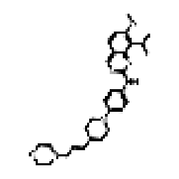 COc1ccc2cnc(Nc3ccc(N4CCC(CCCN5CCOCC5)CC4)cc3)nc2c1C(C)C